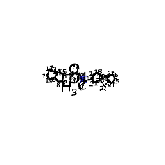 C/C(=N\OC(=O)c1ccc2ccccc2c1)c1ccc2c(c1)Cc1ccccc1-2